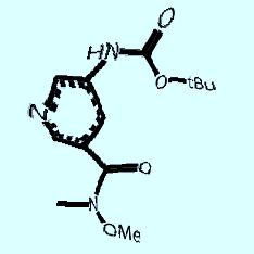 CON(C)C(=O)c1cncc(NC(=O)OC(C)(C)C)c1